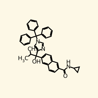 CC(C)C(O)(c1ccc2cc(C(=O)NC3CC3)ccc2c1)c1cn(C(c2ccccc2)(c2ccccc2)c2ccccc2)cn1